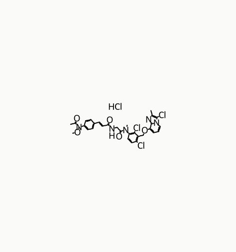 CON(C(C)=O)c1ccc(C=CC(=O)NCC(=O)N(C)c2ccc(Cl)c(COc3cccn4c(Cl)c(C)nc34)c2Cl)cc1.Cl